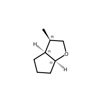 C[C@H]1CO[C@H]2CCC[C@H]21